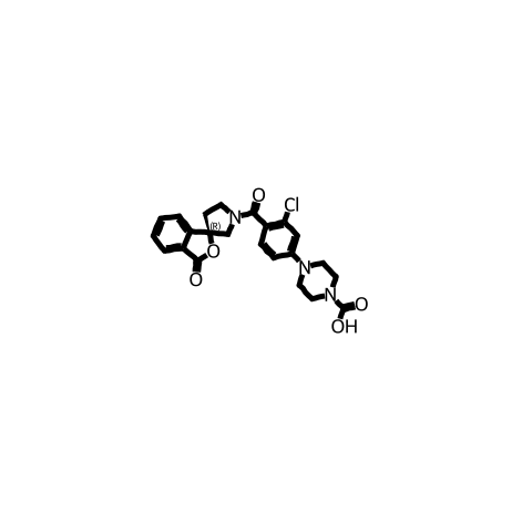 O=C1O[C@]2(CCN(C(=O)c3ccc(N4CCN(C(=O)O)CC4)cc3Cl)C2)c2ccccc21